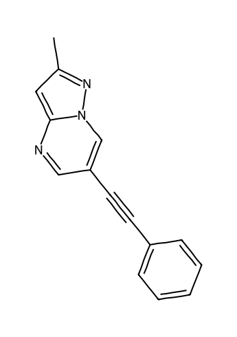 Cc1cc2ncc(C#Cc3ccccc3)cn2n1